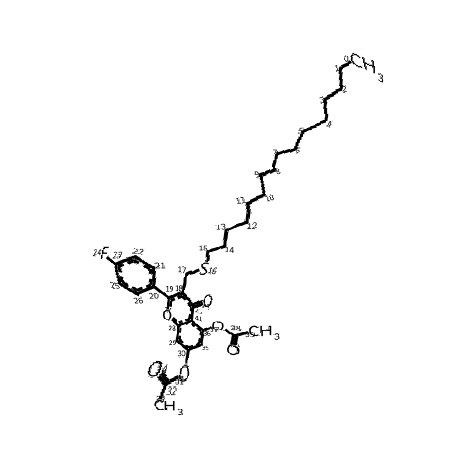 CCCCCCCCCCCCCCCCSCc1c(-c2ccc(F)cc2)oc2cc(OC(C)=O)cc(OC(C)=O)c2c1=O